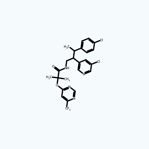 CC(c1ccc(Cl)cc1)C(CNC(=O)C(C)(C)Oc1cc(C(F)(F)F)ncn1)c1cncc(Cl)c1